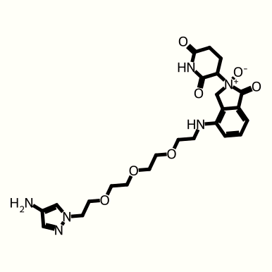 Nc1cnn(CCOCCOCCOCCNc2cccc3c2C[N+]([O-])(C2CCC(=O)NC2=O)C3=O)c1